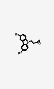 Brc1ccc2c(c1)c1cc(Br)ccc1n2CCC1CO1